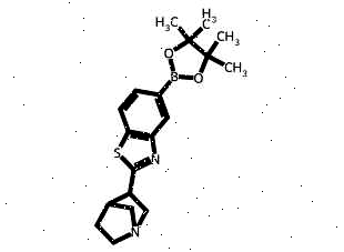 CC1(C)OB(c2ccc3sc(C4CN5CCC4C5)nc3c2)OC1(C)C